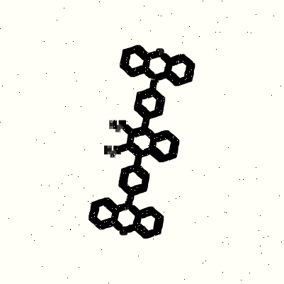 Nc1c(N)c(-c2ccc(N3c4ccccc4Oc4ccccc43)cc2)c2ccccc2c1-c1ccc(N2c3ccccc3Oc3ccccc32)cc1